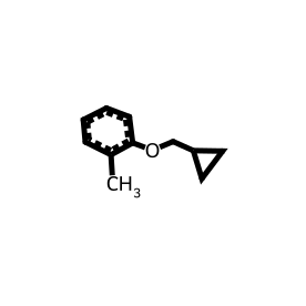 Cc1ccccc1OCC1CC1